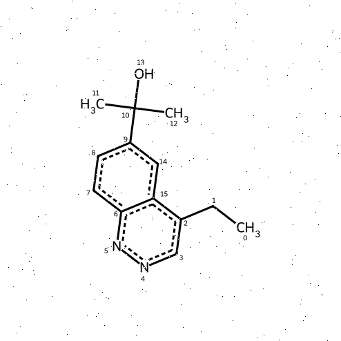 CCc1cnnc2ccc(C(C)(C)O)cc12